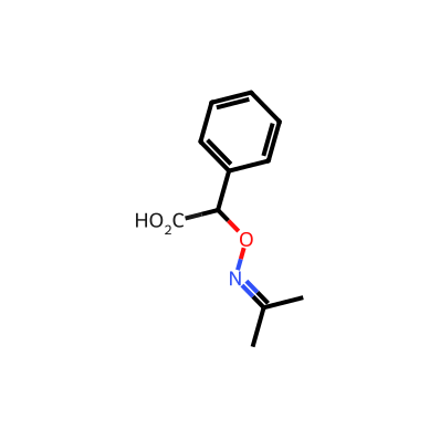 CC(C)=NOC(C(=O)O)c1ccccc1